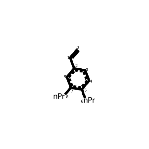 C=Cc1ccc(CCC)c(CCC)c1